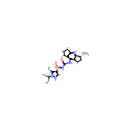 C[C@@H]1CCc2c1nc1c(c2NC(=O)/N=[SH](=O)/c2cnn(C(F)F)c2F)CCC1